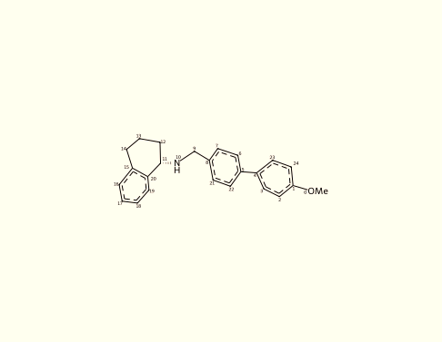 COc1ccc(-c2ccc(CN[C@H]3CCCc4ccccc43)cc2)cc1